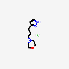 Cl.c1cc(CCCN2CCOCC2)n[nH]1